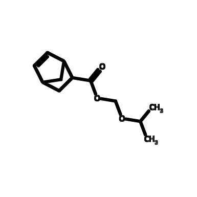 CC(C)OCOC(=O)C1CC2C=CC1C2